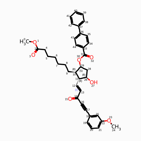 COC(=O)CCCCCC[C@@H]1[C@@H](/C=C/C(=O)C#Cc2cccc(OC)c2)[C@H](O)C[C@@H]1OC(=O)c1ccc(-c2ccccc2)cc1